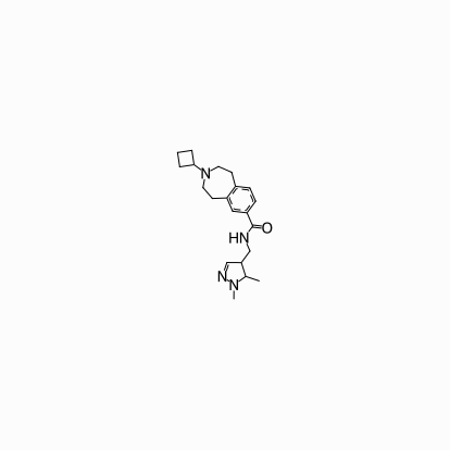 CC1C(CNC(=O)c2ccc3c(c2)CCN(C2CCC2)CC3)C=NN1C